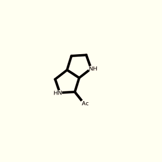 CC(=O)C1NCC2CCNC21